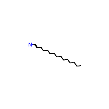 CCCCCCCCCCCCCC=C[N]